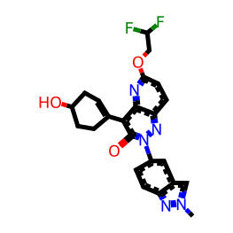 Cn1cc2cc(-n3nc4ccc(OCC(F)F)nc4c(C4=CCC(O)CC4)c3=O)ccc2n1